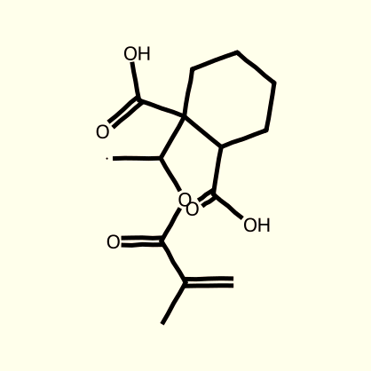 [CH2]C(OC(=O)C(=C)C)C1(C(=O)O)CCCCC1C(=O)O